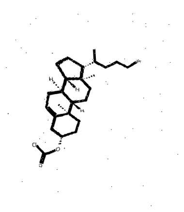 CC(C)CCCC(C)[C@H]1CC[C@H]2[C@@H]3CC=C4C[C@@H](OC(=O)Cl)CC[C@]4(C)[C@H]3CC[C@]12C